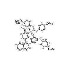 COc1ccc(CN(Cc2ccc(OC)cc2)S(=O)(=O)c2c(SCCO)ccc(-c3cccc4ncccc34)c2-c2nnn(Cc3ccc(OC)cc3)n2)cc1